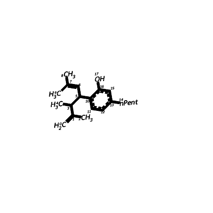 C=C(C)C(C)C(C=C(C)C)c1ccc(CCCCC)cc1O